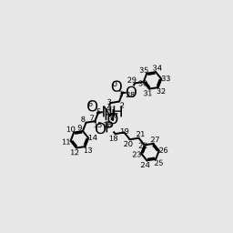 O=C(CCNC(=O)C(Cc1ccccc1)O[PH](=O)CCCCc1ccccc1)OCc1ccccc1